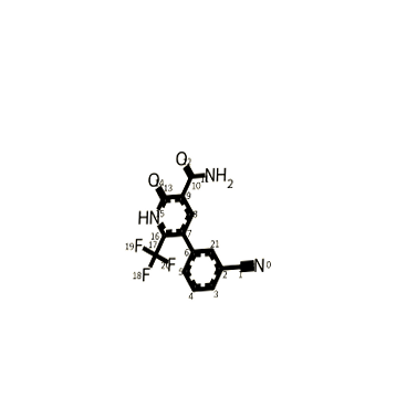 N#Cc1cccc(-c2cc(C(N)=O)c(=O)[nH]c2C(F)(F)F)c1